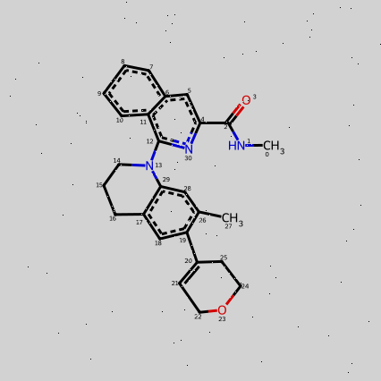 CNC(=O)c1cc2ccccc2c(N2CCCc3cc(C4=CCOCC4)c(C)cc32)n1